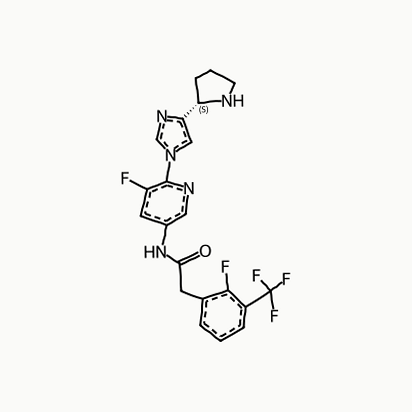 O=C(Cc1cccc(C(F)(F)F)c1F)Nc1cnc(-n2cnc([C@@H]3CCCN3)c2)c(F)c1